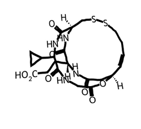 O=C(O)CC[C@H]1NC(=O)C[C@H]2C=CCCSSC[C@@H](NC1=O)C(=O)NC(C1CC1)C(=O)NCC(=O)O2